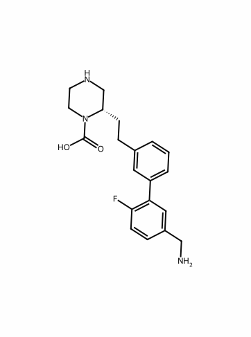 NCc1ccc(F)c(-c2cccc(CC[C@H]3CNCCN3C(=O)O)c2)c1